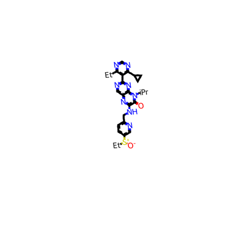 CCc1ncnc(C2CC2)c1-c1ncc2nc(NCc3ccc([S+]([O-])CC)cn3)c(=O)n(C(C)C)c2n1